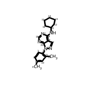 Cc1ccc(-n2ncc3c(NC4CCCCC4)ncnc32)c(C)c1